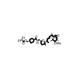 CCN(CC)C(=O)OC[C@H]1CC[C@H](C(=O)NC[C@H]2CC[C@H](C)[C@@H](/C(C)=C/C=C/[C@@H](C)C[C@@]3(C)O[C@@H]3[C@H](C)[C@@H](OC)[C@@H](C)O)O2)CC1